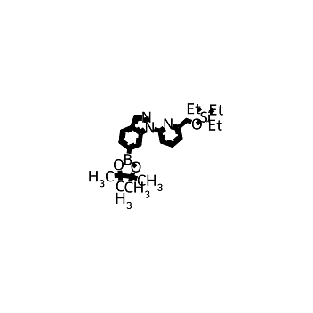 CC[Si](CC)(CC)OCc1cccc(-n2ncc3ccc(B4OC(C)(C)C(C)(C)O4)cc32)n1